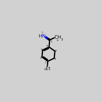 CCC1=CC=C(C(C)=N)CC1